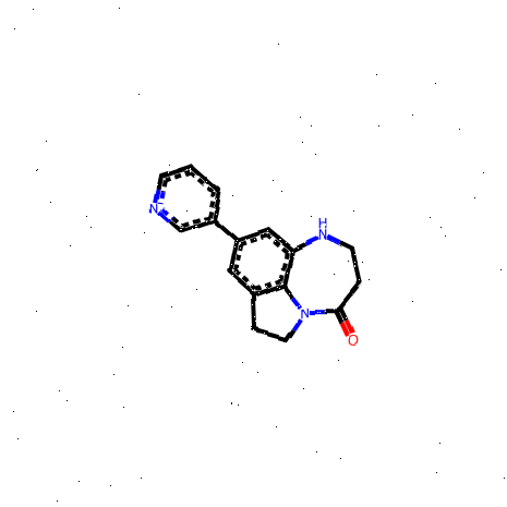 O=C1CCNc2cc(-c3cccnc3)cc3c2N1CC3